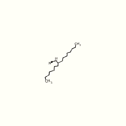 CCCCCCCCC(CCCCCCC)NC#N